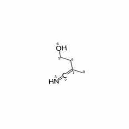 CC(=C=N)CCO